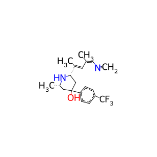 C=N/C=C(C)\C=C(/C)[C@@H]1CC(O)(c2ccc(C(F)(F)F)cc2)C[C@H](C)N1